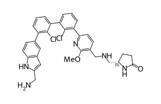 COc1nc(-c2cccc(-c3cccc(-c4ccc5[nH]c(CN)cc5c4)c3Cl)c2Cl)ccc1CNC[C@@H]1CCC(=O)N1